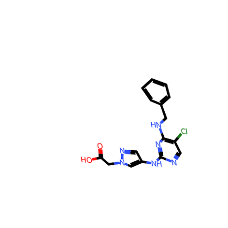 O=C(O)Cn1cc(Nc2ncc(Cl)c(NCc3ccccc3)n2)cn1